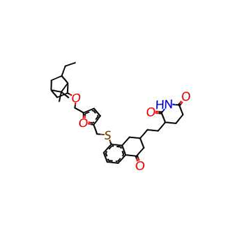 CCC1CC2CC(OCc3ccc(CSc4cccc5c4CC(CCC4CCC(=O)NC4=O)CC5=O)o3)C1C2(C)C